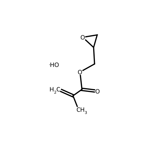 C=C(C)C(=O)OCC1CO1.[OH]